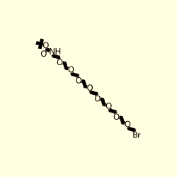 CC(C)(C)OC(=O)NCCOCCOCCOCCOCCOCCOCCOCCOCCBr